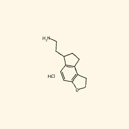 Cl.NCCC1CCc2c1ccc1c2CCO1